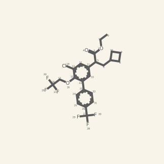 CCOC(=O)C(CC1CCC1)c1cc(Cl)c(OCC(F)(F)F)c(-c2ccc(C(F)(F)F)cc2)c1